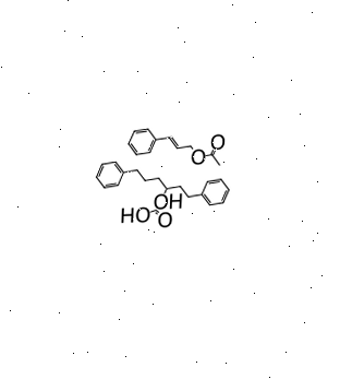 CC(=O)OCC=Cc1ccccc1.O=CO.OC(CCCc1ccccc1)CCc1ccccc1